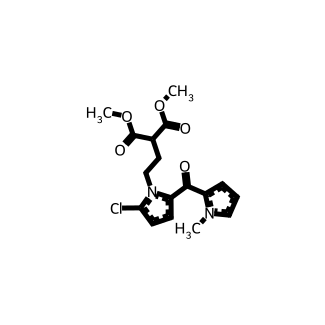 COC(=O)C(CCn1c(Cl)ccc1C(=O)c1cccn1C)C(=O)OC